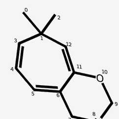 CC1(C)C=CC=C2CNCOC2=C1